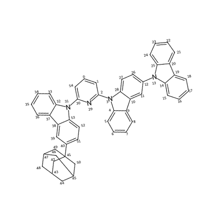 c1cc(-n2c3ccccc3c3cc(-n4c5ccccc5c5ccccc54)ccc32)nc(-n2c3ccccc3c3cc(C45CC6CC(CC(C6)C4)C5)ccc32)c1